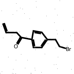 C=CCC(=O)c1ccc(CCBr)cc1